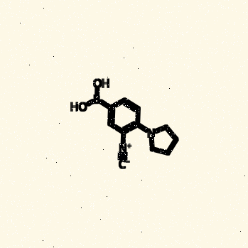 [C-]#[N+]c1cc(B(O)O)ccc1N1CCCC1